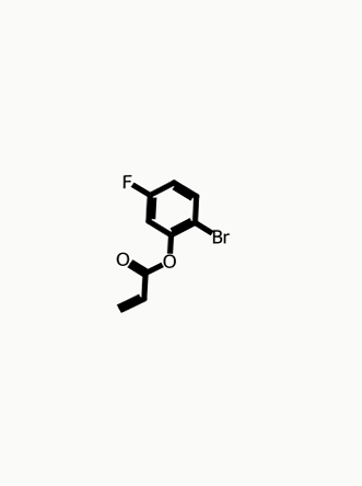 C=CC(=O)Oc1cc(F)ccc1Br